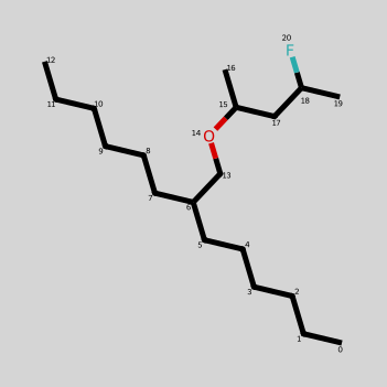 CCCCCCC(CCCCCC)COC(C)CC(C)F